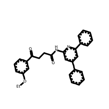 CCOc1cccc(C(=O)CCC(=O)Nc2cc(-c3ccccc3)cc(-c3ccccc3)n2)c1